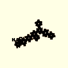 CC1(C)c2ccccc2-c2ccc(-c3ccc(-c4ccc(-c5cc(-c6ccc(-c7ccccc7)cc6)nc(-c6ccccc6)n5)c5ccccc45)cc3)cc21